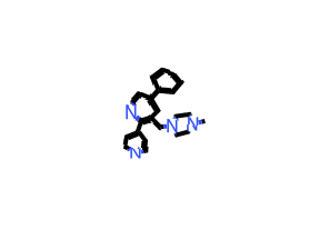 CN1CCN(CC2=C(c3ccncc3)N=C=CC(c3ccccc3)=C2)CC1